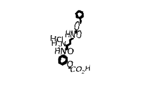 Cl.N[C@@H](CCCNC(=O)OCc1ccccc1)C(=O)Nc1cccc(OCC(=O)O)c1